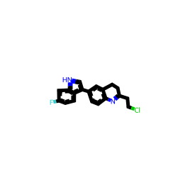 Fc1ccc2c(-c3ccc4c(c3)CCC(CCCl)=N4)c[nH]c2c1